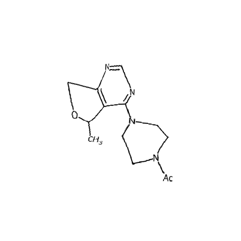 CC(=O)N1CCN(c2ncnc3c2C(C)OC3)CC1